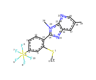 CCSc1cc(S(F)(F)(F)(F)F)ccc1-c1nc2cc(C)cnc2n1C